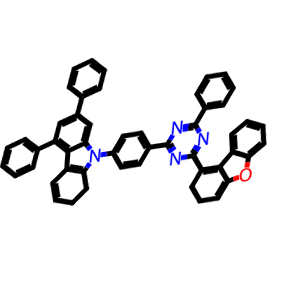 C1=Cc2c(n(-c3ccc(-c4nc(C5=c6c(oc7ccccc67)=CCC5)nc(-c5ccccc5)n4)cc3)c3cc(-c4ccccc4)cc(-c4ccccc4)c23)CC1